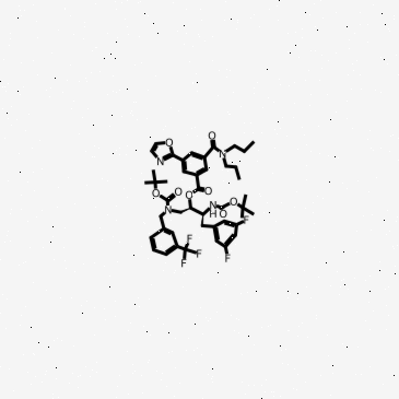 CCCN(CCC)C(=O)c1cc(C(=O)O[C@H](CN(Cc2cccc(C(F)(F)F)c2)C(=O)OC(C)(C)C)[C@H](Cc2cc(F)cc(F)c2)NC(=O)OC(C)(C)C)cc(-c2ncco2)c1